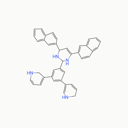 C1=CNCC(c2cc(C3=CNCC=C3)cc(C3NC(c4ccc5ccccc5c4)=CC(c4ccc5ccccc5c4)N3)c2)=C1